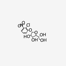 O=[N+]([O-])c1cccc(O[C@@H]2O[C@@H]([C@H](O)CO)[C@H](O)[C@H]2O)c1Cl